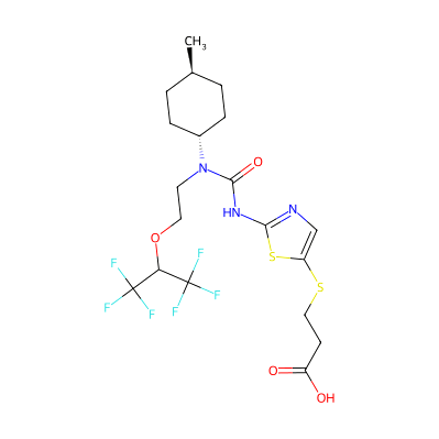 C[C@H]1CC[C@H](N(CCOC(C(F)(F)F)C(F)(F)F)C(=O)Nc2ncc(SCCC(=O)O)s2)CC1